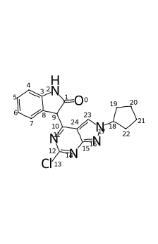 O=C1Nc2ccccc2C1c1nc(Cl)nc2nn(C3CCCC3)cc12